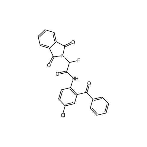 O=C(c1ccccc1)c1cc(Cl)ccc1NC(=O)C(F)N1C(=O)c2ccccc2C1=O